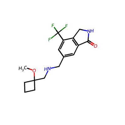 COC1(CNCc2cc3c(c(C(F)(F)F)c2)CNC3=O)CCC1